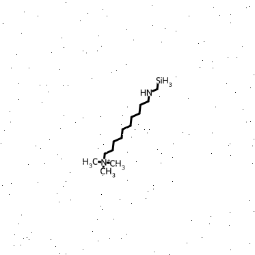 C[N+](C)(C)CCCCCCCCCCNC[SiH3]